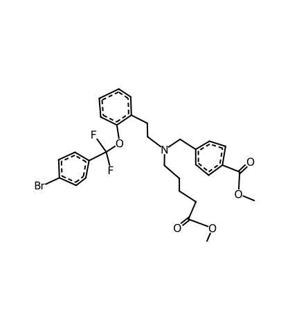 COC(=O)CCCCN(CCc1ccccc1OC(F)(F)c1ccc(Br)cc1)Cc1ccc(C(=O)OC)cc1